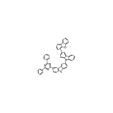 c1ccc(-c2nc(-c3ccccc3)nc(-c3ccc4sc5ccc(-n6c7ccccc7c7cc(-c8cccc9c8oc8ccccc89)ccc76)cc5c4c3)n2)cc1